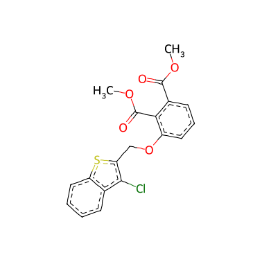 COC(=O)c1cccc(OCc2sc3ccccc3c2Cl)c1C(=O)OC